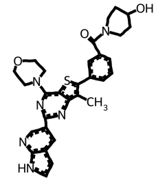 Cc1c(-c2cccc(C(=O)N3CCC(O)CC3)c2)sc2c(N3CCOCC3)nc(-c3cnc4[nH]ccc4c3)nc12